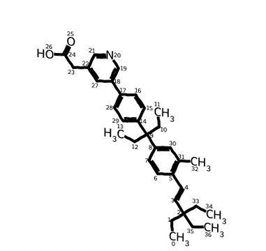 CCC(/C=C/c1ccc(C(CC)(CC)c2ccc(-c3cncc(CC(=O)O)c3)cc2)cc1C)(CC)CC